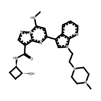 CNc1cc(-c2cn(CCN3CCN(C)CC3)c3ncccc23)nc2c(C(=O)N[C@@H]3CC[C@H]3O)cnn12